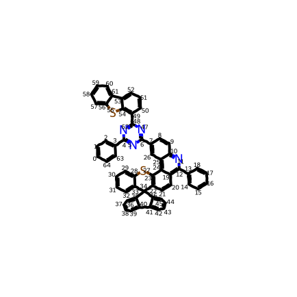 c1ccc(-c2nc(-c3ccc4nc(-c5ccccc5)c5ccc6c(c5c4c3)Sc3ccccc3C63c4ccccc4-c4ccccc43)nc(-c3cccc4c3sc3ccccc34)n2)cc1